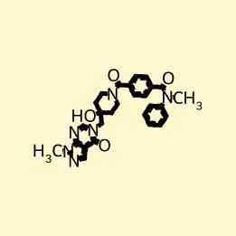 CN(C(=O)c1ccc(C(=O)N2CCC(O)(Cn3cnc4c(cnn4C)c3=O)CC2)cc1)c1ccccc1